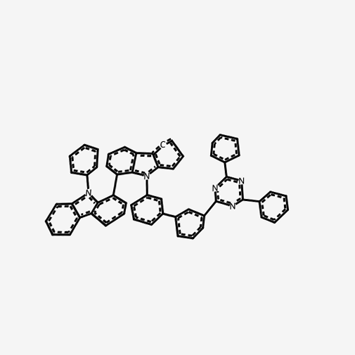 c1ccc(-c2nc(-c3ccccc3)nc(-c3cccc(-c4cccc(-n5c6ccccc6c6cccc(-c7cccc8c9ccccc9n(-c9ccccc9)c78)c65)c4)c3)n2)cc1